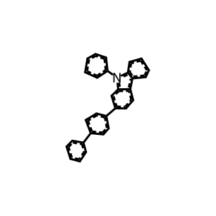 c1ccc(-c2ccc(-c3ccc4c5ccccc5n(-c5ccccc5)c4c3)cc2)cc1